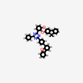 CC1(C)c2ccccc2-c2cc3c(cc21)Oc1c(cccc1-c1nc(-c2ccccc2)nc(-c2ccc(-c4cccc5c4oc4ccccc45)cc2)n1)O3